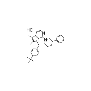 Cc1c(C)n(Cc2ccc(C(C)(C)C)cc2)c2c(N3CCCC(c4ccccc4)C3)nccc12.Cl